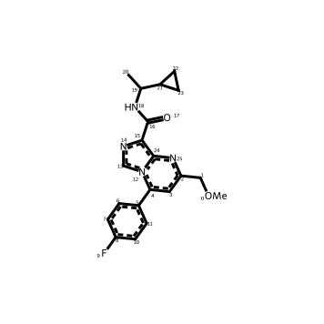 COCc1cc(-c2ccc(F)cc2)n2cnc(C(=O)NC(C)C3CC3)c2n1